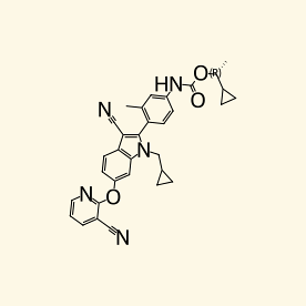 Cc1cc(NC(=O)O[C@H](C)C2CC2)ccc1-c1c(C#N)c2ccc(Oc3ncccc3C#N)cc2n1CC1CC1